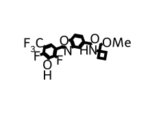 COCC1(NC(=O)c2ccc3oc(-c4cc(C(F)(F)F)c(F)c(O)c4F)nc3c2)CCC1